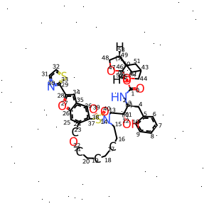 O=C(N[C@@H](Cc1ccccc1)[C@H](O)CN1CCCCCCCOCc2cc3oc(-c4nccs4)cc3cc2S1(=O)=O)O[C@H]1C2CO[C@H]3OC[C@@H]1C3C2